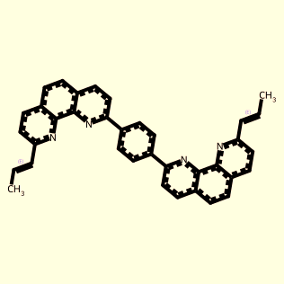 C/C=C/c1ccc2ccc3ccc(-c4ccc(-c5ccc6ccc7ccc(/C=C/C)nc7c6n5)cc4)nc3c2n1